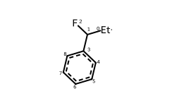 C[CH]C(F)c1ccccc1